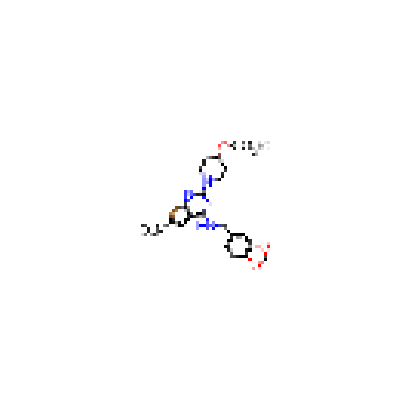 CCOC(=O)OC1CCN(c2nc(NCc3ccc4c(c3)OCO4)c3cc([N+](=O)[O-])sc3n2)CC1